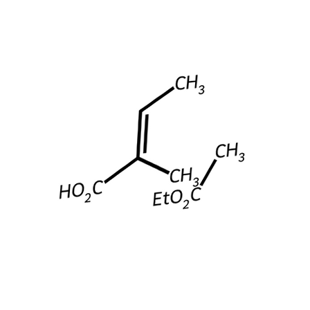 CC=C(C)C(=O)O.CCOC(C)=O